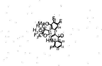 COc1c([C@H]2[C@H](c3cc(=O)c4cccc(F)c4[nH]3)O[C@@](C)(C(F)(F)F)[C@H]2C)ccc(F)c1F